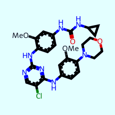 COc1cc(NC(=O)NC2CC2)ccc1Nc1ncc(Cl)c(Nc2ccc(N3CCOCC3)c(OC)c2)n1